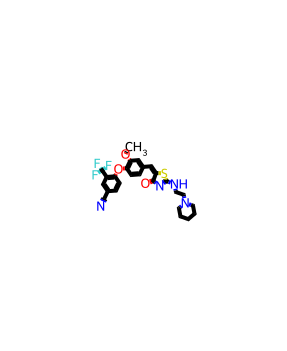 COc1cc(C=C2SC(NCCN3CCCCC3)=NC2=O)ccc1Oc1ccc(C#N)cc1C(F)(F)F